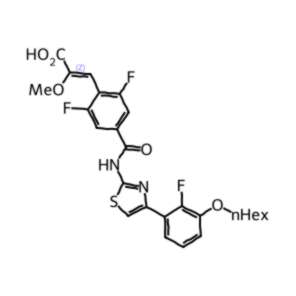 CCCCCCOc1cccc(-c2csc(NC(=O)c3cc(F)c(/C=C(\OC)C(=O)O)c(F)c3)n2)c1F